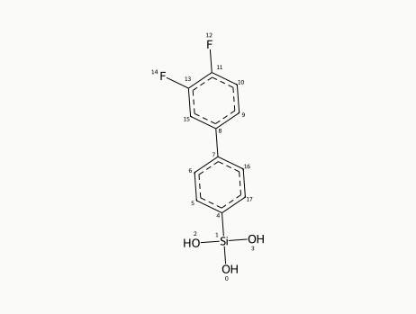 O[Si](O)(O)c1ccc(-c2ccc(F)c(F)c2)cc1